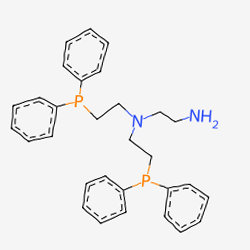 NCCN(CCP(c1ccccc1)c1ccccc1)CCP(c1ccccc1)c1ccccc1